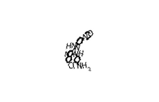 NC1CCC(Nc2c(-c3nc4cc(N5CCOCC5)ccc4[nH]3)cnc3ccc(Cl)cc23)CC1